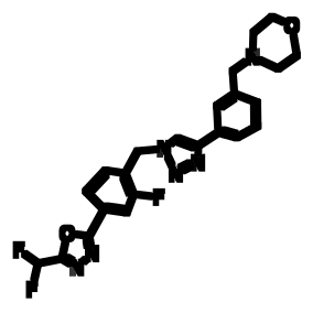 Fc1cc(-c2nnc(C(F)F)o2)ccc1Cn1cc(-c2cccc(CN3CCOCC3)c2)nn1